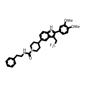 COc1ccc(-c2[nH]c3ccc(C4CCN(C(=O)NCCc5ccccc5)CC4)cc3c2CC(F)(F)F)cc1OC